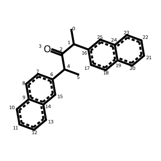 CC(C(=O)C(C)c1ccc2ccccc2c1)c1ccc2ccccc2c1